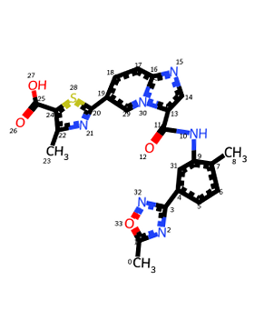 Cc1nc(-c2ccc(C)c(NC(=O)c3cnc4ccc(-c5nc(C)c(C(=O)O)s5)cn34)c2)no1